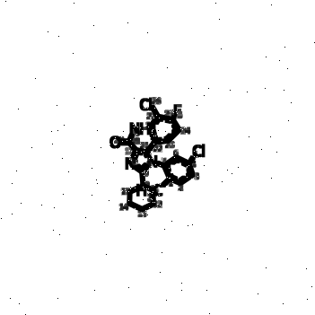 Cc1ccc(Cl)cc1-n1c(C2CCCCC2)nc(C(N)=O)c1-c1ccc(F)c(Cl)c1